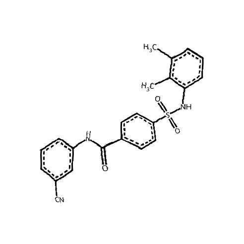 Cc1cccc(NS(=O)(=O)c2ccc(C(=O)Nc3cccc(C#N)c3)cc2)c1C